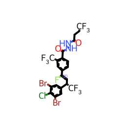 O=C(CCC(F)(F)F)NNC(=O)c1ccc(/C(F)=C/C(c2cc(Br)c(Cl)c(Br)c2)C(F)(F)F)cc1C(F)(F)F